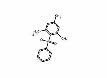 Cc1cc(C)c(P(=O)([O-])c2ccccc2)c(C)c1.[Li+]